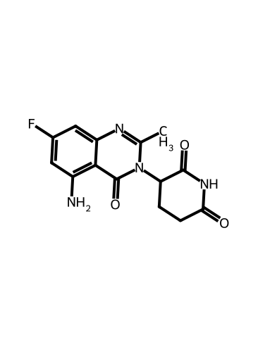 Cc1nc2cc(F)cc(N)c2c(=O)n1C1CCC(=O)NC1=O